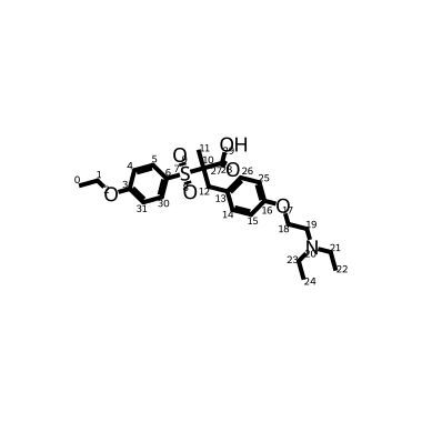 CCOc1ccc(S(=O)(=O)C(C)(Cc2ccc(OCCN(CC)CC)cc2)C(=O)O)cc1